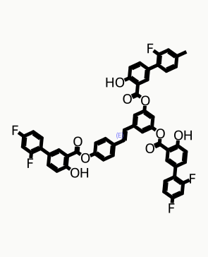 Cc1ccc(-c2ccc(O)c(C(=O)Oc3cc(/C=C/c4ccc(OC(=O)c5cc(-c6ccc(F)cc6F)ccc5O)cc4)cc(OC(=O)c4cc(-c5ccc(F)cc5F)ccc4O)c3)c2)c(F)c1